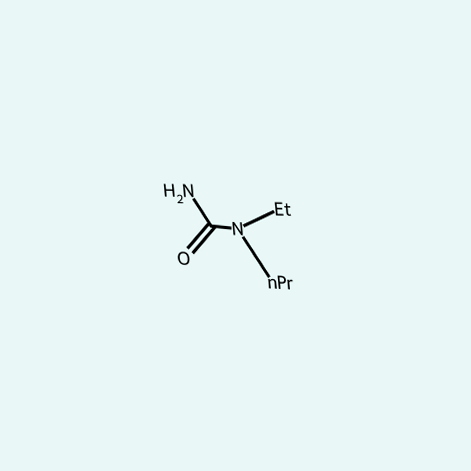 CCCN(CC)C(N)=O